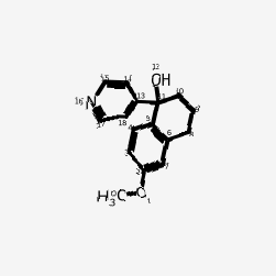 COc1ccc2c(c1)CCCC2(O)c1ccncc1